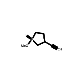 C#CC1CCP(=S)(OC)C1